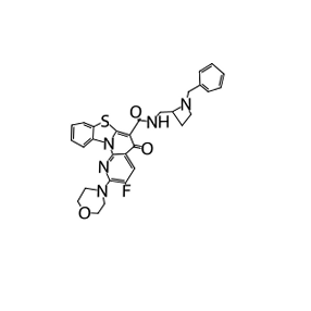 O=C(NCC1CCN1Cc1ccccc1)c1c(=O)c2cc(F)c(N3CCOCC3)nc2n2c1sc1ccccc12